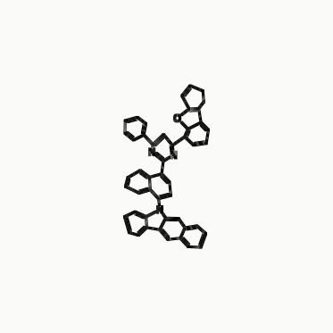 C1=Cc2oc3c(-c4cc(-c5ccccc5)nc(-c5ccc(-n6c7ccccc7c7cc8ccccc8cc76)c6ccccc56)n4)cccc3c2CC1